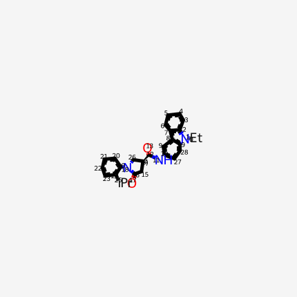 CCn1c2ccccc2c2cc(NC(=O)[C@H]3CC(=O)N(c4ccccc4C(C)C)C3)ccc21